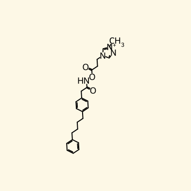 C[n+]1cn(CCC(=O)ONC(=O)Cc2ccc(CCCCc3ccccc3)cc2)cn1